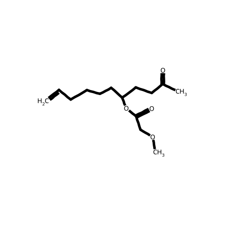 C=CCCCCC(CCC(C)=O)OC(=O)COC